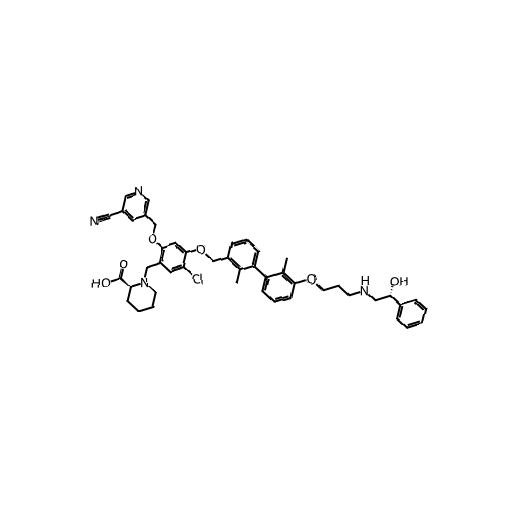 Cc1c(COc2cc(OCc3cncc(C#N)c3)c(CN3CCCC[C@H]3C(=O)O)cc2Cl)cccc1-c1cccc(OCCCNC[C@H](O)c2ccccc2)c1C